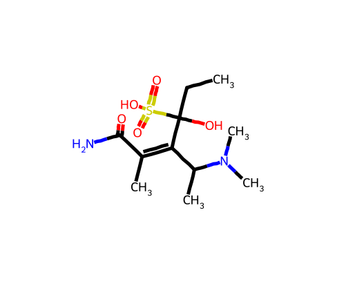 CCC(O)(C(=C(C)C(N)=O)C(C)N(C)C)S(=O)(=O)O